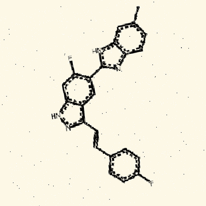 Cc1ccc2nc(-c3cc4c(/C=C/c5ccc(F)cc5)n[nH]c4cc3F)[nH]c2c1